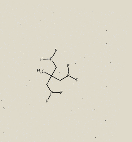 CC(CP(F)F)(CP(F)F)CP(F)F